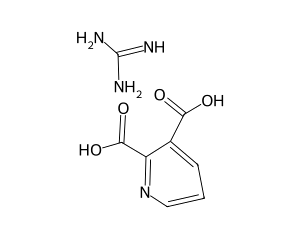 N=C(N)N.O=C(O)c1cccnc1C(=O)O